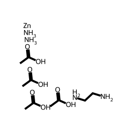 CC(=O)O.CC(=O)O.CC(=O)O.CC(=O)O.N.N.NCCN.[Zn]